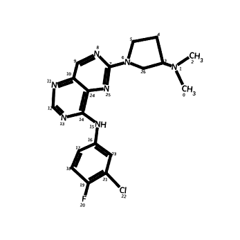 CN(C)C1CCN(c2ncc3ncnc(Nc4ccc(F)c(Cl)c4)c3n2)C1